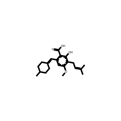 COc1cc(C=C2CCC(C)CC2)c(C(=O)O)c(O)c1CC=C(C)C